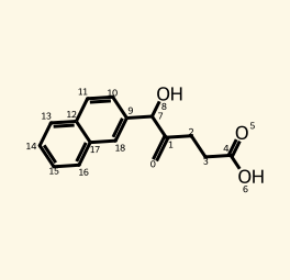 C=C(CCC(=O)O)C(O)c1ccc2ccccc2c1